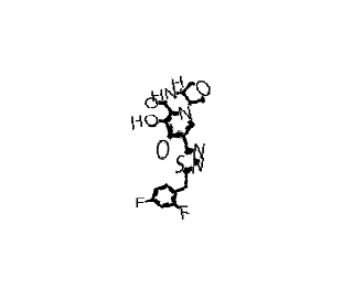 O=C1N[C@H]2COCC2n2cc(-c3nnc(Cc4ccc(F)cc4F)s3)c(=O)c(O)c21